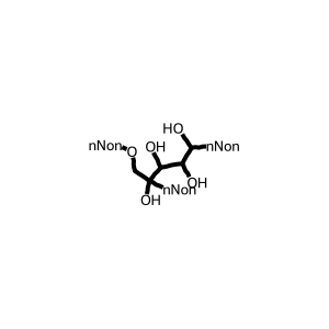 CCCCCCCCCOCC(O)(CCCCCCCCC)C(O)C(O)C(O)CCCCCCCCC